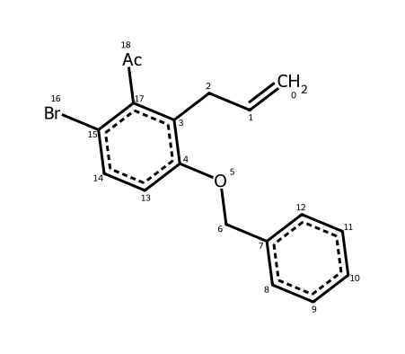 C=CCc1c(OCc2ccccc2)ccc(Br)c1C(C)=O